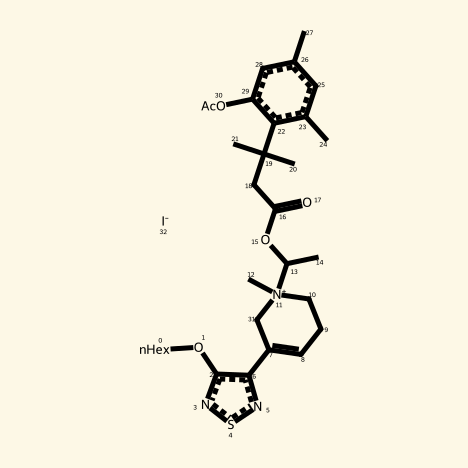 CCCCCCOc1nsnc1C1=CCC[N+](C)(C(C)OC(=O)CC(C)(C)c2c(C)cc(C)cc2OC(C)=O)C1.[I-]